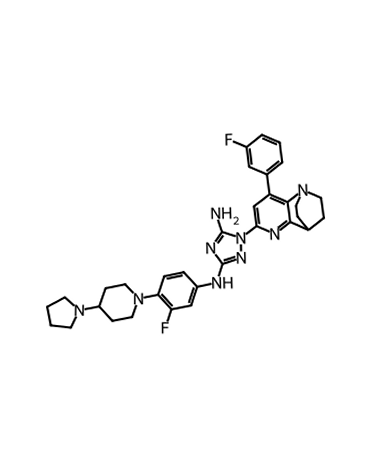 Nc1nc(Nc2ccc(N3CCC(N4CCCC4)CC3)c(F)c2)nn1-c1cc(-c2cccc(F)c2)c2c(n1)C1CCN2CC1